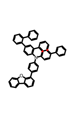 c1ccc(-c2ccc(N(c3ccc(-c4cccc5c4oc4ccccc45)cc3)c3ccc(-c4ccccc4-c4ccccc4)cc3-c3ccccc3)cc2)cc1